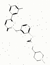 CN1CCC(COC(=O)Nc2cccc(Cn3nc(-c4cc(F)cc(F)c4)ccc3=O)c2)CC1